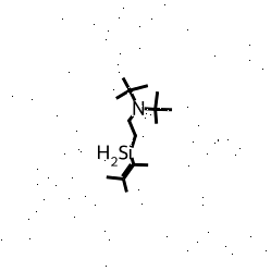 CC(C)=C(C)[SiH2]CCN(C(C)(C)C)C(C)(C)C